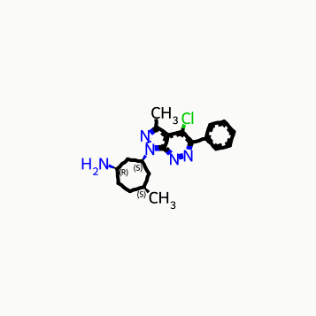 Cc1nn([C@H]2C[C@@H](C)CC[C@@H](N)C2)c2nnc(-c3ccccc3)c(Cl)c12